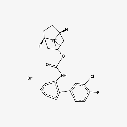 C[N+]1(C)[C@@H]2CC[C@H]1C[C@@H](OC(=O)Nc1ccccc1-c1ccc(F)c(Cl)c1)C2.[Br-]